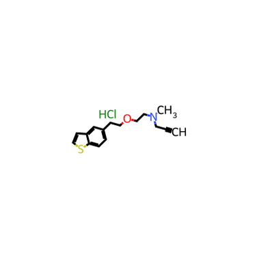 C#CCN(C)CCOCCc1ccc2sccc2c1.Cl